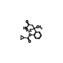 CC(C)(CC(=O)S)c1ccccc1OC(=O)C1CC1